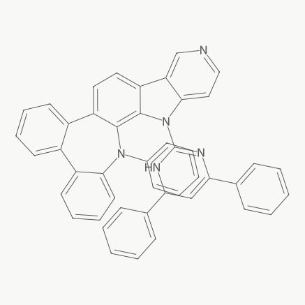 C1=C(c2ccccc2)N=C(n2c3ccncc3c3ccc4c(c32)N(c2ccccc2)c2ccccc2-c2ccccc2-4)NC1c1ccccc1